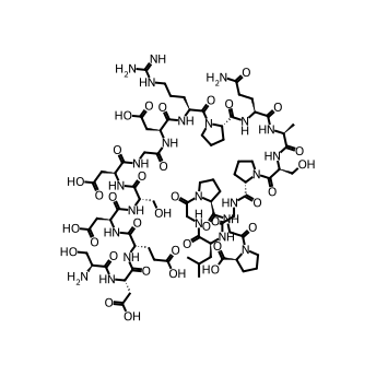 CC(C)C[C@H](NC(=O)CNC(=O)[C@@H]1CCCN1C(=O)[C@H](CO)NC(=O)[C@H](C)NC(=O)[C@H](CCC(N)=O)NC(=O)[C@@H]1CCCN1C(=O)[C@H](CCCNC(=N)N)NC(=O)[C@H](CC(=O)O)NC(=O)CNC(=O)[C@H](CC(=O)O)NC(=O)[C@H](CO)NC(=O)[C@H](CC(=O)O)NC(=O)[C@H](CCC(=O)O)NC(=O)[C@H](CC(=O)O)NC(=O)[C@@H](N)CO)C(=O)NCC(=O)N1CCC[C@H]1C(=O)NCC(=O)N1CCC[C@H]1C(=O)O